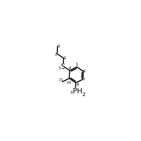 CCCSc1cccc(P)c1C